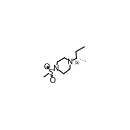 CC[C@H](C)N1CCN(S(C)(=O)=O)CC1